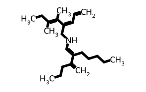 C=C/C=C(CN/C=C(\CCCCC)C(=C)CCC)\C(C)=C(/C)CC